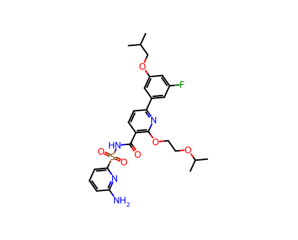 CC(C)COc1cc(F)cc(-c2ccc(C(=O)NS(=O)(=O)c3cccc(N)n3)c(OCCOC(C)C)n2)c1